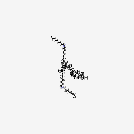 CCCCCCCC/C=C\CCCCCCCC(=O)C[C@@H](COC(=O)CCCCCCC/C=C\CCCCCCCC)COC(=O)CCC(=O)NC(CCC(=O)O)C(=O)O